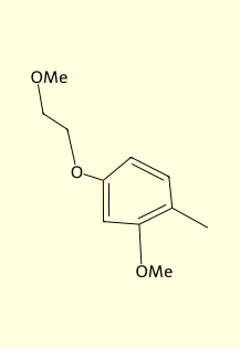 COCCOc1ccc(C)c(OC)c1